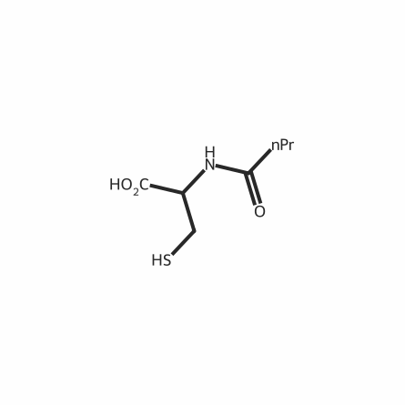 CCCC(=O)NC(CS)C(=O)O